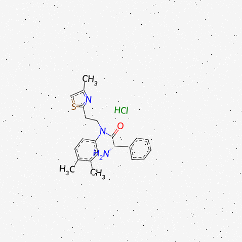 Cc1csc(CCN(C(=O)[C@@H](N)c2ccccc2)c2ccc(C)c(C)c2)n1.Cl